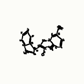 Clc1nc2ccc(Br)cc2cc1-n1cnc2ccccc21